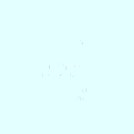 CC(C)C[C@H](NC(=O)OC(C)(C)C)[C@@H](O)[C@@H](O)CCc1ccccn1